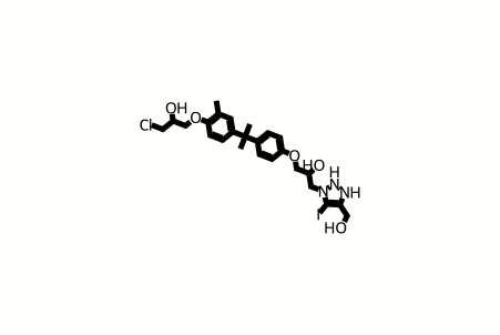 Cc1cc(C(C)(C)c2ccc(OCC(O)CN3NNC(CO)=C3I)cc2)ccc1OCC(O)CCl